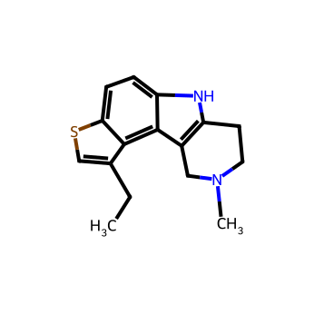 CCc1csc2ccc3[nH]c4c(c3c12)CN(C)CC4